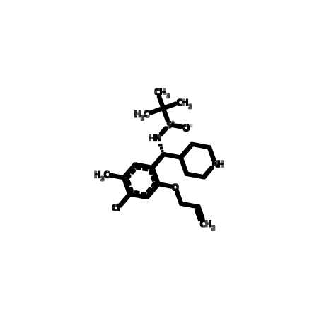 C=CCOc1cc(Cl)c(C)cc1[C@H](N[S+]([O-])C(C)(C)C)C1CCNCC1